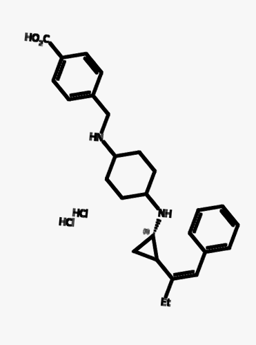 CCC(=Cc1ccccc1)C1C[C@@H]1NC1CCC(NCc2ccc(C(=O)O)cc2)CC1.Cl.Cl